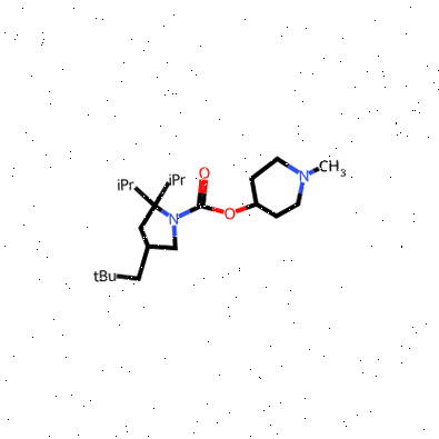 CC(C)C1(C(C)C)CC(CC(C)(C)C)CN1C(=O)OC1CCN(C)CC1